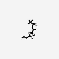 CCCc1noc(C(C)CC(=O)C(C)(C)C)n1